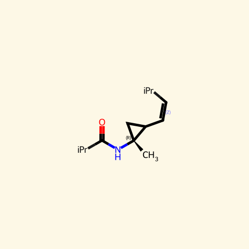 CC(C)/C=C\C1C[C@@]1(C)NC(=O)C(C)C